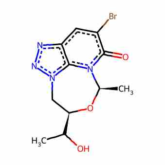 CC(O)[C@H]1Cn2nnc3cc(Br)c(=O)n(c32)[C@@H](C)O1